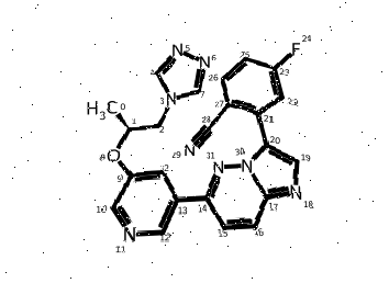 C[C@@H](Cn1cnnc1)Oc1cncc(-c2ccc3ncc(-c4cc(F)ccc4C#N)n3n2)c1